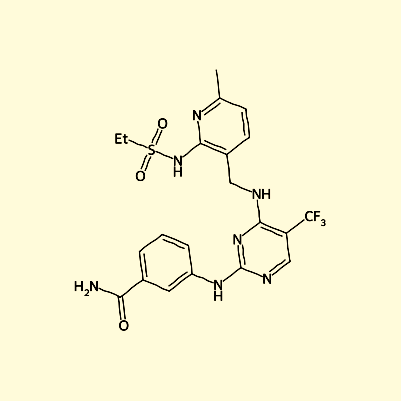 CCS(=O)(=O)Nc1nc(C)ccc1CNc1nc(Nc2cccc(C(N)=O)c2)ncc1C(F)(F)F